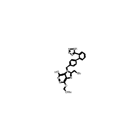 COCOc1nnc(O)c2c1nc(CC(C)(C)C)n2Cc1ccc(-c2ccccc2-c2nnn[nH]2)cc1